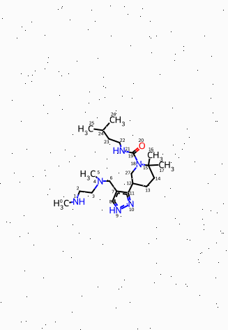 CNCCN(C)Cc1c[nH]nc1C1CCC(C)(C)N(C(=O)NCCC(C)C)C1